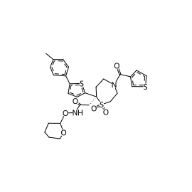 Cc1ccc(-c2ccc([C@@]3(CC(=O)NOC4CCCCO4)CCN(C(=O)c4ccsc4)CCS3(=O)=O)s2)cc1